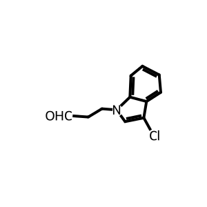 O=CCCn1cc(Cl)c2ccccc21